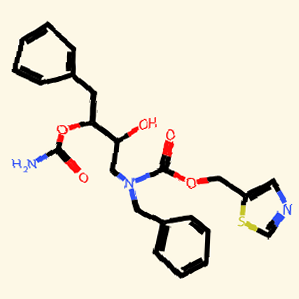 NC(=O)OC(Cc1ccccc1)C(O)CN(Cc1ccccc1)C(=O)OCc1cncs1